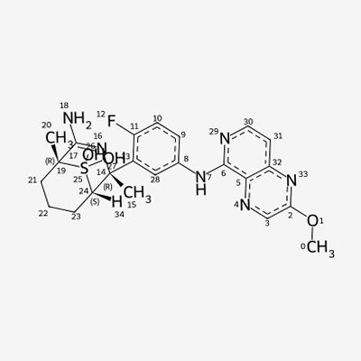 COc1cnc2c(Nc3ccc(F)c([C@@]4(C)N=C(N)[C@@]5(C)CCC[C@@H]4S5(O)O)c3)nccc2n1